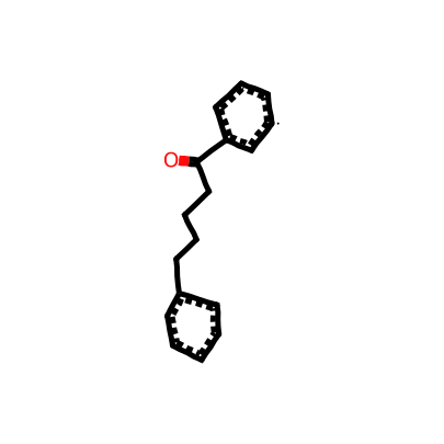 O=C(CCCCc1ccccc1)c1c[c]ccc1